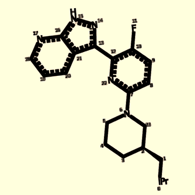 CC(C)C[C@H]1CCCN(c2ccc(F)c(-c3n[nH]c4ncccc34)n2)C1